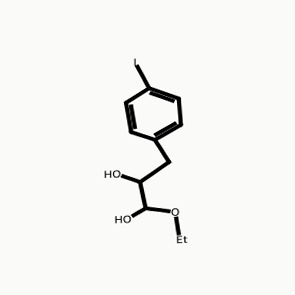 CCOC(O)C(O)Cc1ccc(I)cc1